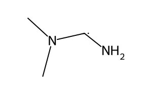 CN(C)[CH]N